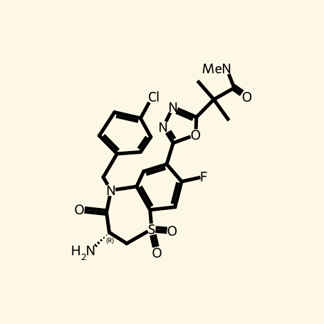 CNC(=O)C(C)(C)c1nnc(-c2cc3c(cc2F)S(=O)(=O)C[C@H](N)C(=O)N3Cc2ccc(Cl)cc2)o1